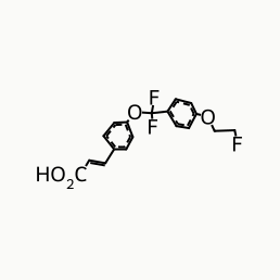 O=C(O)C=Cc1ccc(OC(F)(F)c2ccc(OCCF)cc2)cc1